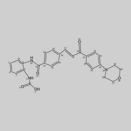 O=C(O)Nc1ccccc1NC(=O)c1ccc(C=CC(=O)c2ccc(N3CCOCC3)cc2)cc1